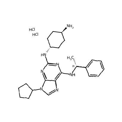 C[C@@H](Nc1nc(N[C@H]2CC[C@H](N)CC2)nc2c1ncn2C1CCCC1)c1ccccc1.Cl.Cl